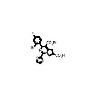 CCOC(=O)C1=C2CC(C(=O)O)CN2C(c2nccs2)=NC1c1ccc(F)cc1Br